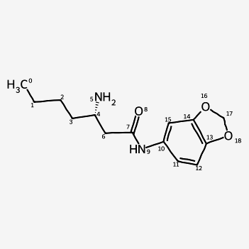 CCCC[C@H](N)CC(=O)Nc1ccc2c(c1)OCO2